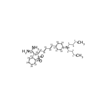 CCCCN(CCCC)c1ccc(/C=C/C=C/C=C2/C(=C(N)N)c3ccccc3S2(=O)=O)cc1